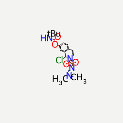 CN(C)/C=N/S(=O)(=O)N1C=Cc2ccc(OC(=O)NC(C)(C)C)cc2C1Cl